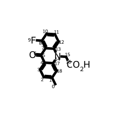 Cc1ccc2c(=O)c3c(F)cccc3n(CC(=O)O)c2c1